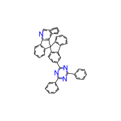 c1ccc(-c2nc(-c3ccccc3)nc(-c3ccc4c(c3)-c3ccccc3C43c4ccccc4-c4ncc5ccccc5c43)n2)cc1